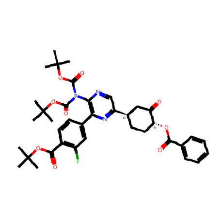 CC(C)(C)OC(=O)c1ccc(-c2nc([C@@H]3CC[C@@H](OC(=O)c4ccccc4)C(=O)C3)cnc2N(C(=O)OC(C)(C)C)C(=O)OC(C)(C)C)cc1F